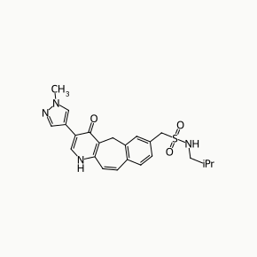 CC(C)CNS(=O)(=O)Cc1ccc2c(c1)Cc1c([nH]cc(-c3cnn(C)c3)c1=O)C=C2